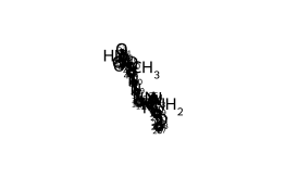 Cc1cc(N2CC(N3CC(N4CCCC(n5nc(-c6ccc(Oc7ccccc7)cc6)c6c(N)ncnc65)C4)C3)C2)ccc1C(=O)N(C=O)C1CCC(=O)NC1=O